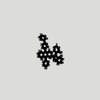 CC1C=CC=CC1n1c(-c2ccc3c(-c4ccc(-c5ccccc5)cc4)c4ccccc4c(-c4ccccc4)c3c2)nc2ccccc21